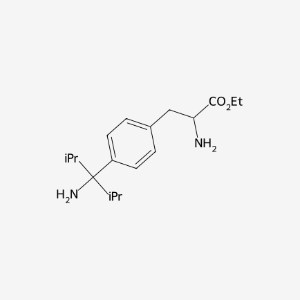 CCOC(=O)C(N)Cc1ccc(C(N)(C(C)C)C(C)C)cc1